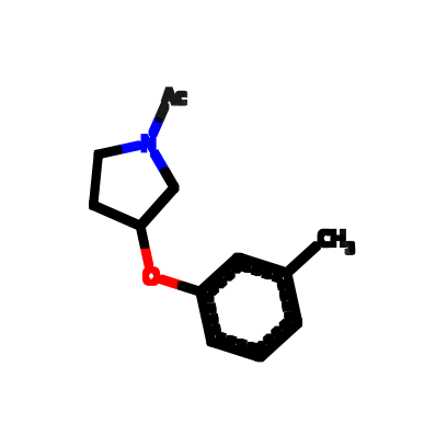 CC(=O)N1CCC(Oc2cccc(C)c2)C1